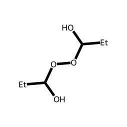 CCC(O)OOC(O)CC